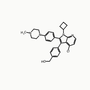 CN1CCN(c2ccc(-c3c(-c4ccc(CO)cc4)c4c(Cl)ccnc4n3C3CCC3)cc2)CC1